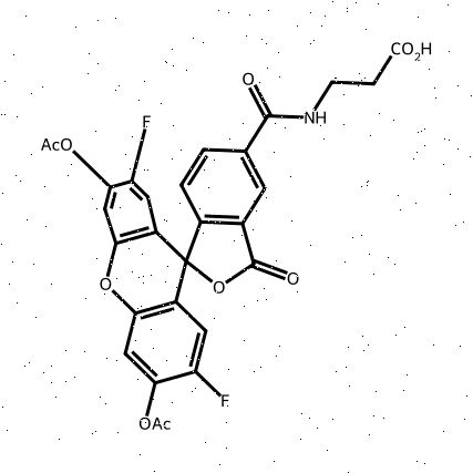 CC(=O)Oc1cc2c(cc1F)C1(OC(=O)c3cc(C(=O)NCCC(=O)O)ccc31)c1cc(F)c(OC(C)=O)cc1O2